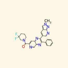 Cn1cc2cc(-c3nc4cc(C(=O)N5CCCC(F)(F)C5)ncc4nc3-c3ccccc3)cnc2n1